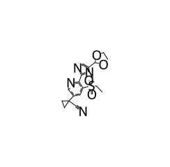 CCS(=O)(=O)c1cc(C2(C#N)CC2)cnc1-c1ncc(C2OCCO2)n1C